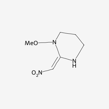 CON1CCCN/C1=C/[N+](=O)[O-]